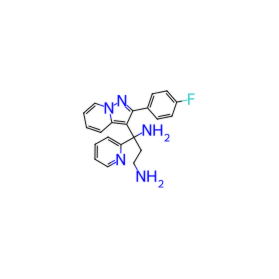 NCCC(N)(c1ccccn1)c1c(-c2ccc(F)cc2)nn2ccccc12